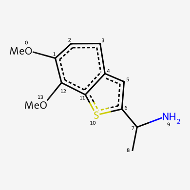 COc1ccc2cc(C(C)N)sc2c1OC